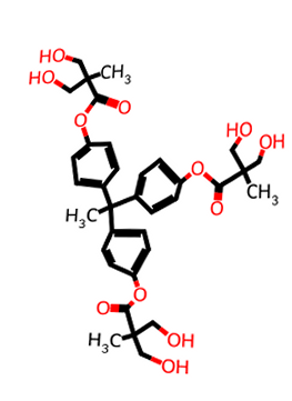 CC(CO)(CO)C(=O)Oc1ccc(C(C)(c2ccc(OC(=O)C(C)(CO)CO)cc2)c2ccc(OC(=O)C(C)(CO)CO)cc2)cc1